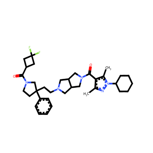 Cc1nn(C2CCCCC2)c(C)c1C(=O)N1CC2CN(CCC3(c4ccccc4)CCN(C(=O)C4CC(F)(F)C4)C3)CC2C1